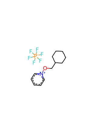 F[P-](F)(F)(F)(F)F.c1cc[n+](OCC2CCCCC2)cc1